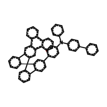 c1ccc(-c2ccc(N(c3ccccc3)c3ccc(-c4ccc5c(c4)C4(c6ccccc6-5)c5ccccc5-c5cc6c7ccccc7c7ccccc7c6cc54)cc3)cc2)cc1